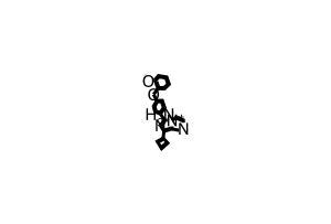 COc1ccccc1Oc1ccc(C2=NC(C3=CC=C3)=C3C=NC=C[N+]23N)cc1